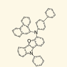 c1ccc(-c2ccc(N(c3cc4ccccc4c4ccccc34)c3cccc4c3oc3c5ccccc5n(-c5ccccc5)c43)cc2)cc1